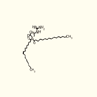 CCCCCCCC/C=C\CCCCCCCC(=O)N(C(=O)CCCCCCCCCCCCCCC)[C@@H](CCNC(=N)N)C(=O)O